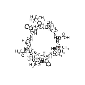 CC(=O)N[C@@H](CC(=O)O)C(=O)N[C@H]1CSSC[C@@H](C(=O)N[C@H](C(=O)O)[C@@H](C)O)NC(=O)[C@H](Cc2c[nH]c3ccccc23)NC(=O)[C@H](C(C)C)NC(=O)[C@H](CC(C)C)NC(=O)[C@H](CCC(=O)O)NC(=O)CNC(=O)[C@H](CC(C)C)NC(=O)[C@H](Cc2cccc(C(C)(C)C)c2)NC(=O)[C@H](Cc2c[nH]c3ccccc23)NC(=O)[C@H](C)NC1=O